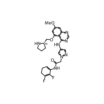 COc1cc(OC[C@H]2CCCN2)c2c(Nc3cnn(CC(=O)NC4=CCCC(F)=C4F)c3)ncnc2c1